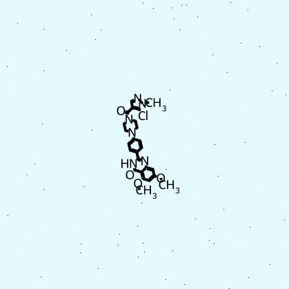 COc1cc(OC)c2c(=O)[nH]c(-c3ccc(N4CCN(C(=O)c5cnn(C)c5Cl)CC4)cc3)nc2c1